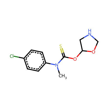 CN(C(=S)OC1CNCO1)c1ccc(Cl)cc1